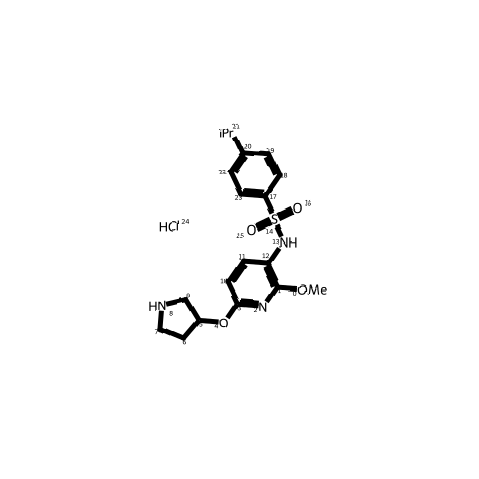 COc1nc(OC2CCNC2)ccc1NS(=O)(=O)c1ccc(C(C)C)cc1.Cl